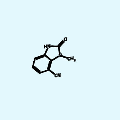 Cn1c(=O)[nH]c2cccc(C#N)c21